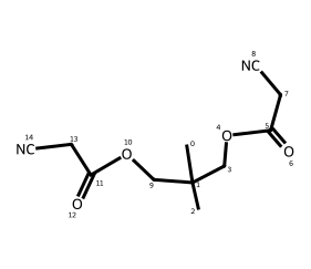 CC(C)(COC(=O)CC#N)COC(=O)CC#N